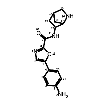 Nc1ccc(-c2cnc(C(=O)NC3CC4CNC3C4)o2)cc1